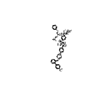 CN(C)CC[C@H](CSc1ccccc1)Nc1cc(S(=O)(=O)NC(=O)c2ccc(N3CCN(Cc4ccccc4-c4ccc(Cl)cc4)CC3)cc2)ccc1NOO